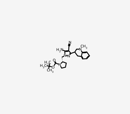 CN1CC(c2nn(C[C@@H]3CCCN3C(=O)OC(C)(C)C)c(N)c2C#N)Cc2ccccc21